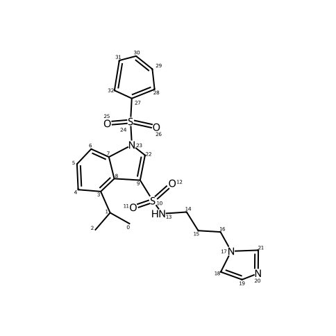 CC(C)c1cccc2c1c(S(=O)(=O)NCCCn1ccnc1)cn2S(=O)(=O)c1ccccc1